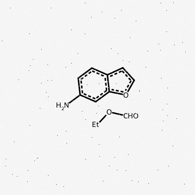 CCOC=O.Nc1ccc2ccoc2c1